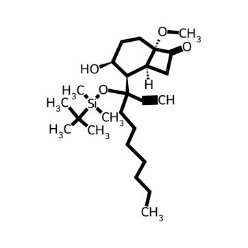 C#CC(CCCCCCC)(O[Si](C)(C)C(C)(C)C)[C@H]1[C@@H](O)CC[C@@]2(OC)C(=O)C[C@@H]12